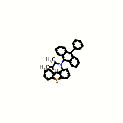 CC(C)C(C)N(c1c2ccccc2c(-c2ccccc2)c2ccccc12)c1cccc2sc3ccccc3c12